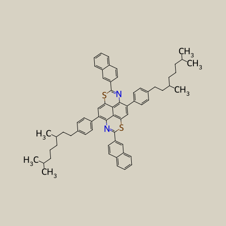 CC(C)CCCC(C)CCc1ccc(-c2cc3c4c(c(-c5ccc(CCC(C)CCCC(C)C)cc5)cc5c4c2N=C(c2ccc4ccccc4c2)S5)N=C(c2ccc4ccccc4c2)S3)cc1